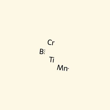 [B].[Cr].[Mn].[Ti]